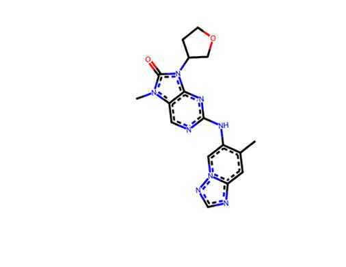 Cc1cc2ncnn2cc1Nc1ncc2c(n1)n(C1CCOC1)c(=O)n2C